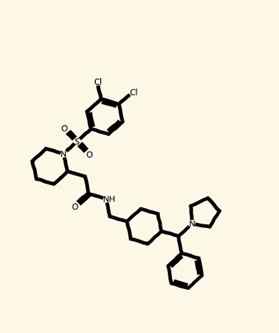 O=C(CC1CCCCN1S(=O)(=O)c1ccc(Cl)c(Cl)c1)NCC1CCC(C(c2ccccc2)N2CCCC2)CC1